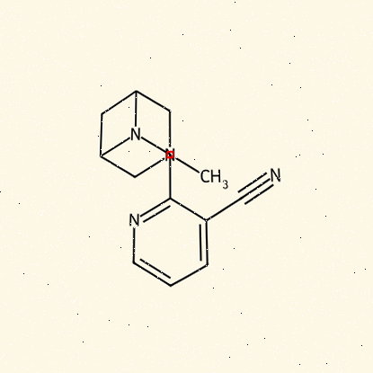 CN1CC2CC(C1)N2Cc1ncccc1C#N